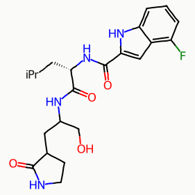 CC(C)C[C@H](NC(=O)c1cc2c(F)cccc2[nH]1)C(=O)NC(CO)CC1CCNC1=O